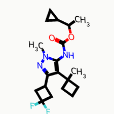 CC(OC(=O)Nc1c(C2(C)CCC2)c(C2CC(F)(F)C2)nn1C)C1CC1